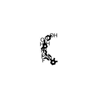 Cc1cccc(N2CCN(C(=O)Cn3ncc4c3C[C@H]3C(C(=O)N5CCC(O)CC5)[C@H]43)C(C(F)F)C2)c1C